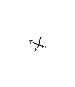 [C]C(F)(F)F